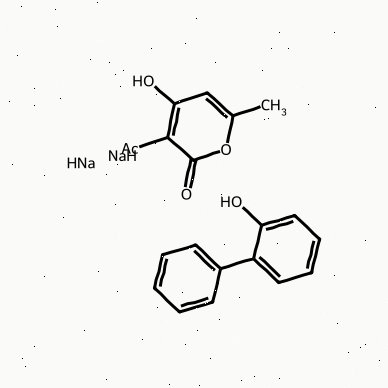 CC(=O)c1c(O)cc(C)oc1=O.Oc1ccccc1-c1ccccc1.[NaH].[NaH]